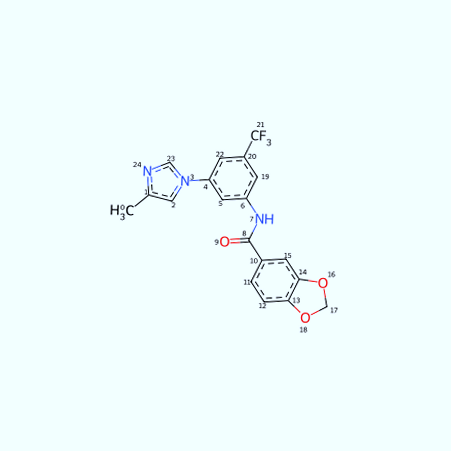 Cc1cn(-c2cc(NC(=O)c3ccc4c(c3)OCO4)cc(C(F)(F)F)c2)cn1